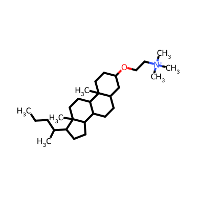 CCCC(C)C1CCC2C3CCC4CC(OCC[N+](C)(C)C)CCC4(C)C3CCC12C